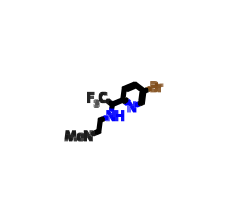 CNCCNC(c1ccc(Br)cn1)C(F)(F)F